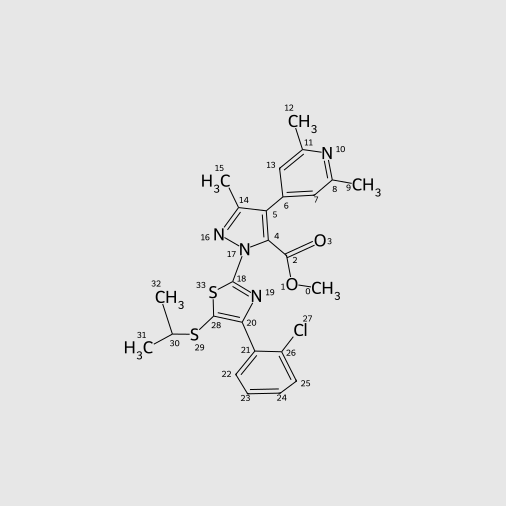 COC(=O)c1c(-c2cc(C)nc(C)c2)c(C)nn1-c1nc(-c2ccccc2Cl)c(SC(C)C)s1